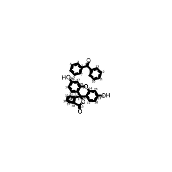 O=C(c1ccccc1)c1ccccc1.O=C1OC2(c3ccc(O)cc3Oc3cc(O)ccc32)c2ccccc21